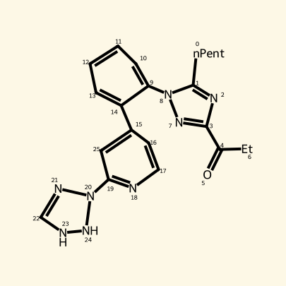 CCCCCc1nc(C(=O)CC)nn1-c1ccccc1-c1ccnc(N2N=CNN2)c1